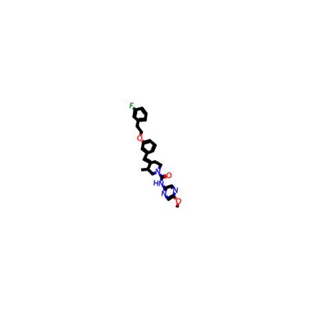 COc1cnc(NC(=O)N2CCC(=Cc3cccc(OCCc4cccc(F)c4)c3)C(C)C2)cn1